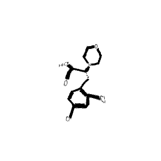 O=C(O)[C@@H](Cc1ccc(Cl)cc1Cl)N1CCOCC1